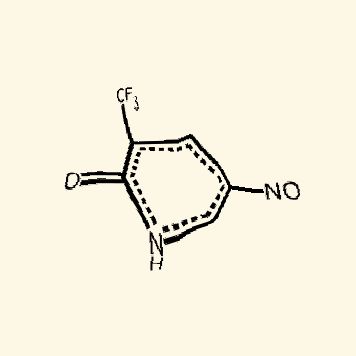 O=Nc1c[nH]c(=O)c(C(F)(F)F)c1